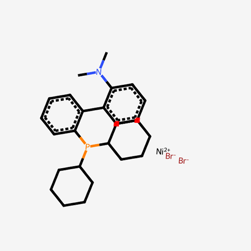 CN(C)c1ccccc1-c1ccccc1P(C1CCCCC1)C1CCCCC1.[Br-].[Br-].[Ni+2]